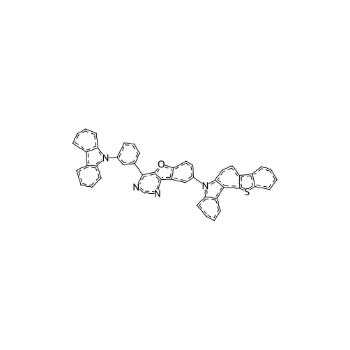 c1cc(-c2ncnc3c2oc2ccc(-n4c5ccccc5c5c6sc7ccccc7c6ccc54)cc23)cc(-n2c3ccccc3c3ccccc32)c1